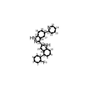 Fc1ccccc1-c1cccc2[nH]c(-c3n[nH]c4ccc(-c5ccccn5)cc34)cc12